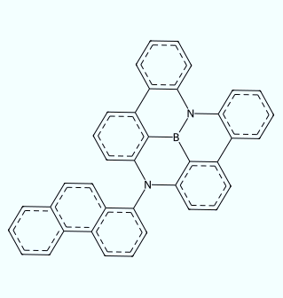 c1ccc2c(c1)-c1cccc3c1B1c4c(cccc4N3c3cccc4c3ccc3ccccc34)-c3ccccc3N12